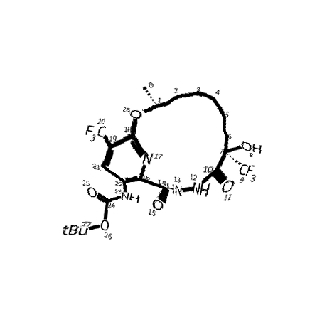 C[C@@H]1CCCCC[C@](O)(C(F)(F)F)C(=O)NNC(=O)c2nc(c(C(F)(F)F)cc2NC(=O)OC(C)(C)C)O1